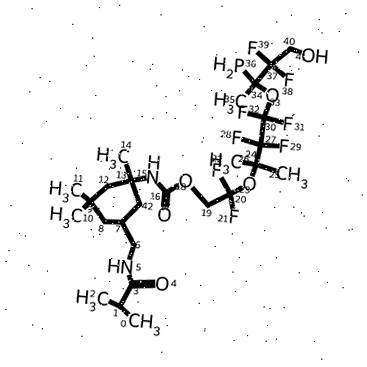 CC(C)C(=O)NCC1CC(C)(C)CC(C)(NC(=O)OCC(F)(F)OC(C)(C)C(F)(F)C(F)(F)OC(C)(P)C(F)(F)CO)C1